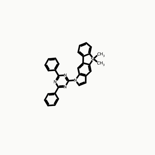 C[Si]1(C)c2ccccc2-c2cc3c(ccn3-c3nc(-c4ccccc4)nc(-c4ccccc4)n3)cc21